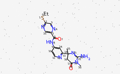 CCSc1cnc(C(=O)Nc2ccnc(C3(C)CC(=O)N(C)C(N)=N3)c2)cn1